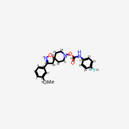 COc1cccc(C2=NOC3(CCN(OC(=O)Nc4ccc(F)cc4)CC3)C2)c1